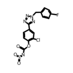 O=C(N=S(=O)=O)Oc1ccc(-c2nnn(Cc3ccc(F)cc3)n2)cc1Cl